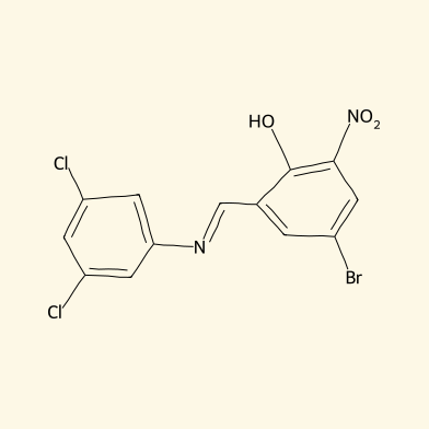 O=[N+]([O-])c1cc(Br)cc(/C=N/c2cc(Cl)cc(Cl)c2)c1O